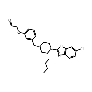 CCCC[C@@H]1CN(Cc2cccc(OCC=O)c2)CCN1c1nc2ccc(Cl)cc2o1